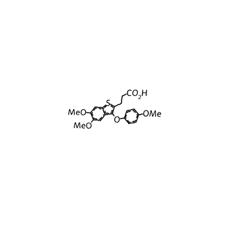 COc1ccc(Oc2c(CCC(=O)O)sc3cc(OC)c(OC)cc23)cc1